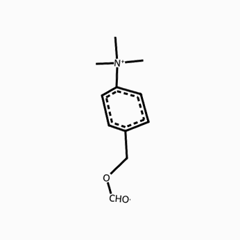 C[N+](C)(C)c1ccc(CO[C]=O)cc1